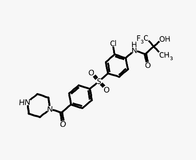 CC(O)(C(=O)Nc1ccc(S(=O)(=O)c2ccc(C(=O)N3CCNCC3)cc2)cc1Cl)C(F)(F)F